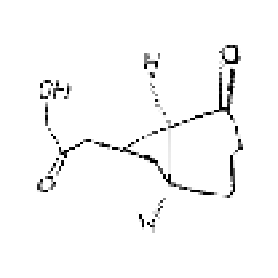 O=C(O)C1[C@H]2C(=O)CC[C@@H]12